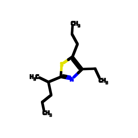 CCCc1sc(C(C)CCC)nc1CC